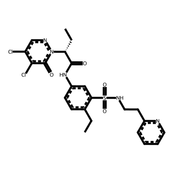 CCc1ccc(NC(=O)[C@@H](CC)n2ncc(Cl)c(Cl)c2=O)cc1S(=O)(=O)NCCc1ccccn1